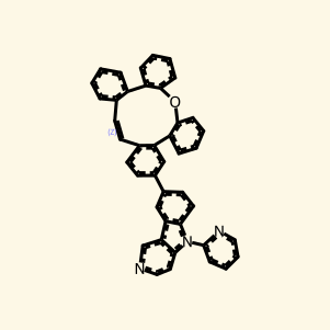 C1=C\c2ccc(-c3ccc4c(c3)c3cnccc3n4-c3ccccn3)cc2-c2ccccc2Oc2ccccc2-c2ccccc2/1